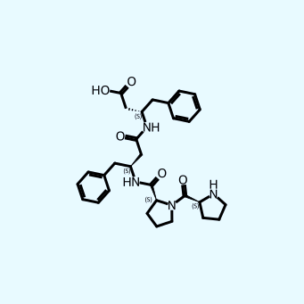 O=C(O)C[C@H](Cc1ccccc1)NC(=O)C[C@H](Cc1ccccc1)NC(=O)[C@@H]1CCCN1C(=O)[C@@H]1CCCN1